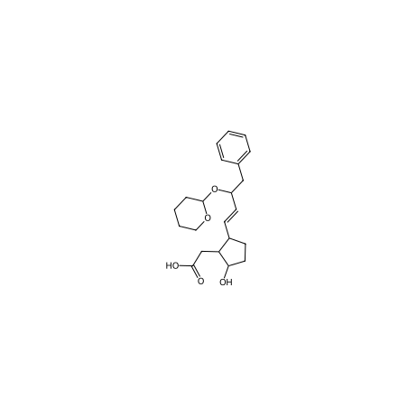 O=C(O)CC1C(O)CCC1C=CC(Cc1ccccc1)OC1CCCCO1